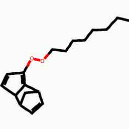 CCCCCCCCOOC1=C2C3C=CC(C3)C2C=C1